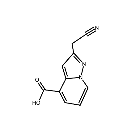 N#CCc1cc2c(C(=O)O)cccn2n1